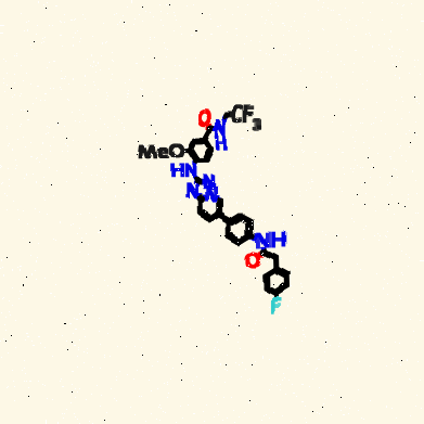 COc1cc(C(=O)NCC(F)(F)F)ccc1Nc1nc2ccc(-c3ccc(NC(=O)Cc4ccc(F)cc4)cc3)cn2n1